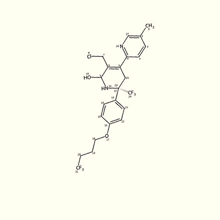 Cc1ccc(C2=C(CCl)C(O)N[C@@](c3ccc(OCCCC(F)(F)F)cc3)(C(F)(F)F)C2)nc1